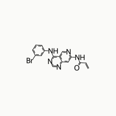 C=CC(=O)Nc1cc2ncnc(Nc3cccc(Br)c3)c2cn1